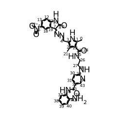 Cc1[nH]c(/C=N/N=C2\C(=O)Nc3ccc([N+](=O)[O-])cc32)c(C)c1C(=O)NCCNc1ccc(C(=O)Nc2ccccc2N)cn1